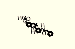 CC1(C)Cc2cc(OC(=O)O)ccc2NC1c1cccc(NC(=O)Cc2ccccc2)c1